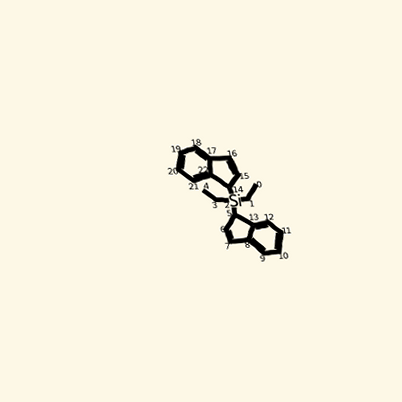 CC[Si](CC)(C1C=Cc2ccccc21)C1C=Cc2ccccc21